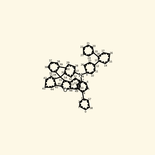 c1ccc(-c2ccc(N(c3ccc(-c4ccccc4-c4ccccc4)cc3)c3ccc4c(c3)C3(c5ccccc5-4)c4ccccc4-c4oc5ccccc5c43)cc2)cc1